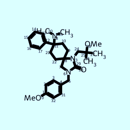 COc1ccc(CN2CC3(CCC(c4ccccc4)(N(C)C)CC3)N(CC(C)(C)OC)C2=O)cc1